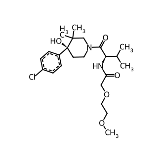 COCCOCC(=O)N[C@@H](C(=O)N1CC[C@](O)(c2ccc(Cl)cc2)C(C)(C)C1)C(C)C